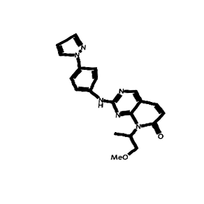 COCC(C)n1c(=O)ccc2cnc(Nc3ccc(-n4cccn4)cc3)nc21